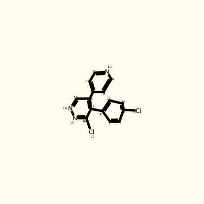 Clc1ccc(-c2c(-c3ccncc3)cnnc2Cl)cc1